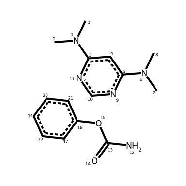 CN(C)c1cc(N(C)C)ncn1.NC(=O)Oc1ccccc1